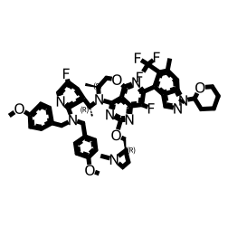 COc1ccc(CN(Cc2ccc(OC)cc2)c2ncc(F)cc2[C@@H](C)N2c3nc(OC[C@H]4CCN4C)nc4c(F)c(-c5c(C(F)(F)F)c(C)cc6c5cnn6C5CCCCO5)nc(c34)OC[C@@H]2C)cc1